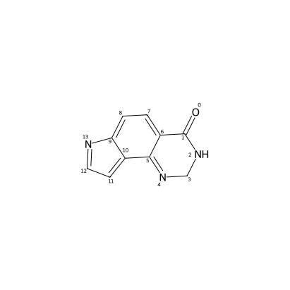 O=C1NCN=c2c1ccc1c2=CC=N1